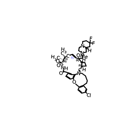 CO[C@@]1(CN2CCN3CCC(F)(F)C[C@@H]3C2)/C=C/C[C@H](C)[C@@H](C)S(=O)(=O)NC(=O)c2ccc3c(c2)N(CCCCc2cc(Cl)ccc2CO3)C[C@@H]2CC[C@H]21